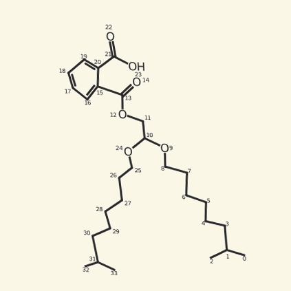 CC(C)CCCCCCOC(COC(=O)c1ccccc1C(=O)O)OCCCCCCC(C)C